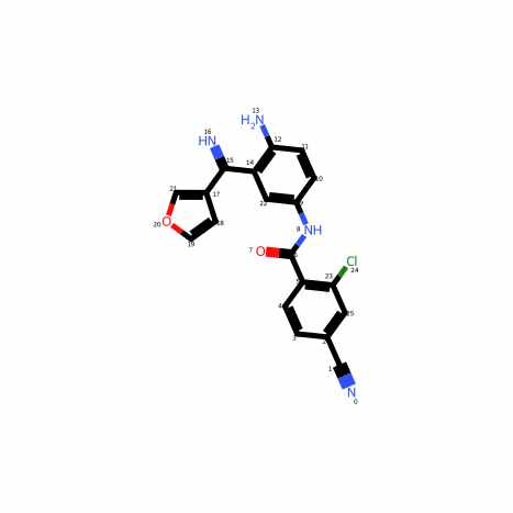 N#Cc1ccc(C(=O)Nc2ccc(N)c(C(=N)c3ccoc3)c2)c(Cl)c1